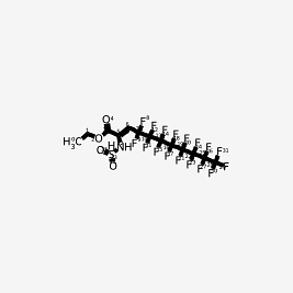 CCOC(=O)C(=CC(F)(F)C(F)(F)C(F)(F)C(F)(F)C(F)(F)C(F)(F)C(F)(F)C(F)(F)F)N[SH](=O)=O